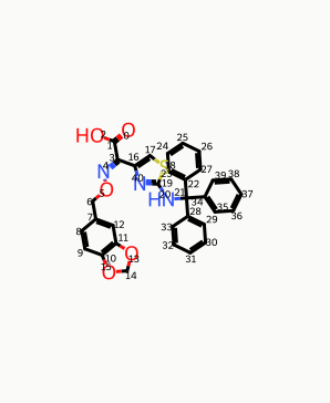 O=C(O)/C(=N/OCc1ccc2c(c1)OCO2)c1csc(NC(c2ccccc2)(c2ccccc2)c2ccccc2)n1